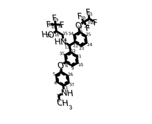 CCNc1ccc(Oc2cccc(C(NCC(O)C(F)(F)F)c3cccc(OC(F)(F)C(F)F)c3)c2)cc1